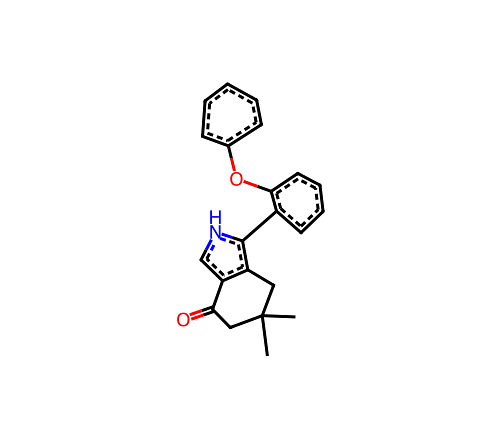 CC1(C)CC(=O)c2c[nH]c(-c3ccccc3Oc3ccccc3)c2C1